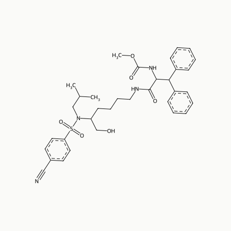 COC(=O)NC(C(=O)NCCCCC(CO)N(CC(C)C)S(=O)(=O)c1ccc(C#N)cc1)C(c1ccccc1)c1ccccc1